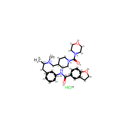 CCCN(CC1CCN(C(=O)N2CCOCC2)CC1)C(C)Cc1cccc(NC(=O)c2ccc3c(c2)CCO3)c1.Cl